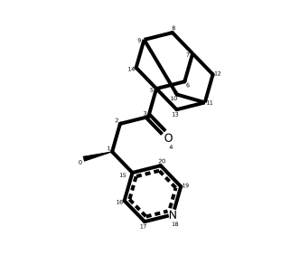 C[C@@H](CC(=O)C12CC3CC(CC(C3)C1)C2)c1ccncc1